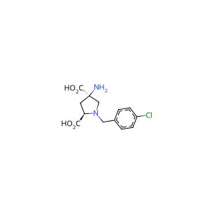 N[C@]1(C(=O)O)C[C@H](C(=O)O)N(Cc2ccc(Cl)cc2)C1